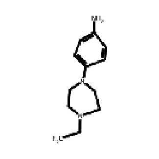 Nc1ccc(N2CCN(CC(F)(F)F)CC2)cc1